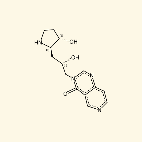 O=c1c2cnccc2ncn1C[C@@H](O)C[C@H]1NCC[C@@H]1O